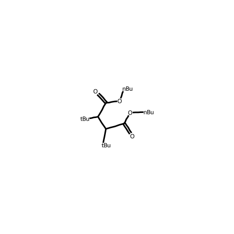 CCCCOC(=O)C(C(C(=O)OCCCC)C(C)(C)C)C(C)(C)C